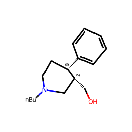 CCCCN1CC[C@H](c2ccccc2)[C@H](CO)C1